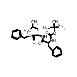 CC(C)C[C@H](NC(=O)[C@H](Cc1ccccc1)NC(=O)OC(C)(C)C)C(=O)OCc1ccccc1